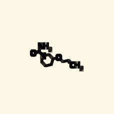 C=CCOC1CCCN(C(N)=O)C1